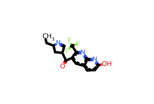 CCC1CC(C(=O)c2cc3ccc(O)nc3nc2C(F)(F)F)C=N1